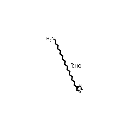 CC=O.NCCCCCCCCCCCCCCCCCCc1csnn1